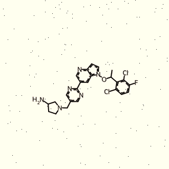 CC(On1ccc2ncc(-c3ncc(CN4CCC(N)C4)cn3)cc21)c1c(Cl)ccc(F)c1Cl